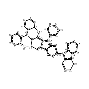 C1=CC2OC3=c4c(c5ccc(-n6c7c(c8ccccc86)CCC=C7)cc5n4-c4ccccc4)=CC4Oc5ccccc5B(C2C=C1)C34